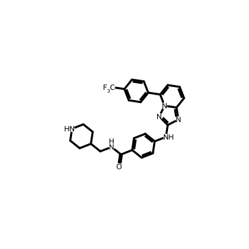 O=C(NCC1CCNCC1)c1ccc(Nc2nc3cccc(-c4ccc(C(F)(F)F)cc4)n3n2)cc1